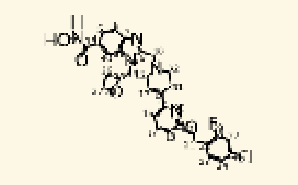 O=C(NO)c1ccc2nc(CN3CC=C(c4cccc(OCc5ccc(Cl)cc5F)n4)CC3)n(C[C@@H]3CCO3)c2c1